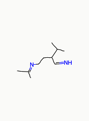 CC(C)=NCCC(C=N)C(C)C